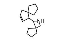 C1=CC(C2NCC23CCCC3)C2(C1)CCCC2